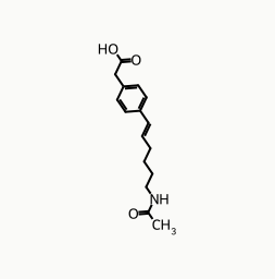 CC(=O)NCCCCC=Cc1ccc(CC(=O)O)cc1